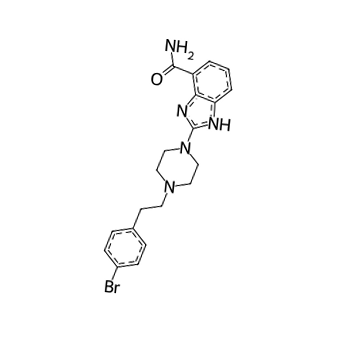 NC(=O)c1cccc2[nH]c(N3CCN(CCc4ccc(Br)cc4)CC3)nc12